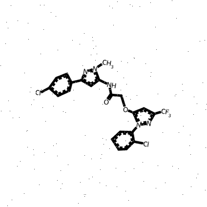 Cn1nc(-c2ccc(Cl)cc2)cc1NC(=O)COc1cc(C(F)(F)F)nn1-c1ccccc1Cl